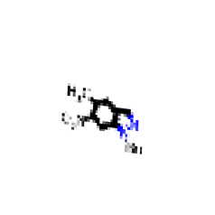 CC[C@@H](C)n1ncc2cc(C)c([N+](=O)[O-])cc21